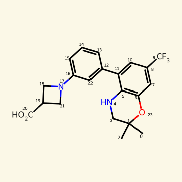 CC1(C)CNc2c(cc(C(F)(F)F)cc2-c2cccc(N3CC(C(=O)O)C3)c2)O1